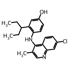 CCC(CC)c1cc(O)ccc1Nc1c(C)cnc2cc(Cl)ccc12